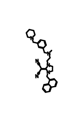 CN(CCN1CCN(Cc2cccc3ccccc23)C1=C(C#N)C#N)Cc1cccc(CN2CCCCC2)c1